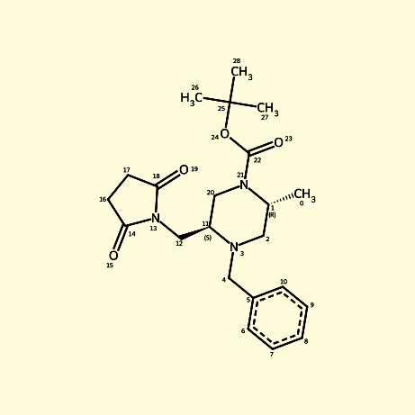 C[C@@H]1CN(Cc2ccccc2)[C@@H](CN2C(=O)CCC2=O)CN1C(=O)OC(C)(C)C